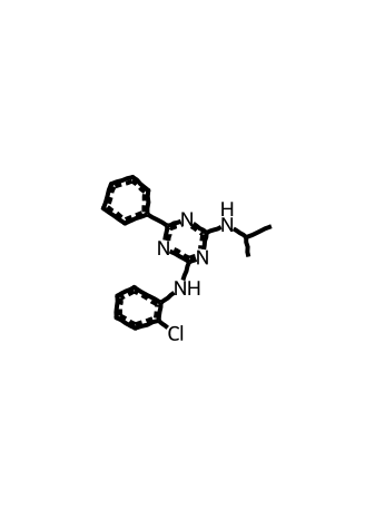 CC(C)Nc1nc(Nc2ccccc2Cl)nc(-c2ccccc2)n1